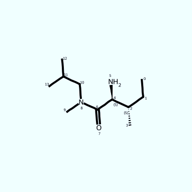 CC[C@H](C)[C@H](N)C(=O)N(C)CC(C)C